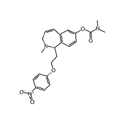 CN(C)C(=O)Oc1ccc2c(c1)C=CCN(C)C2CCOc1ccc([N+](=O)[O-])cc1